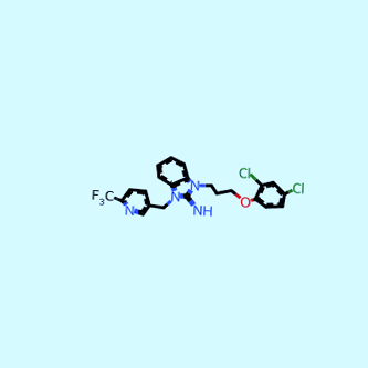 N=c1n(CCCOc2ccc(Cl)cc2Cl)c2ccccc2n1Cc1ccc(C(F)(F)F)nc1